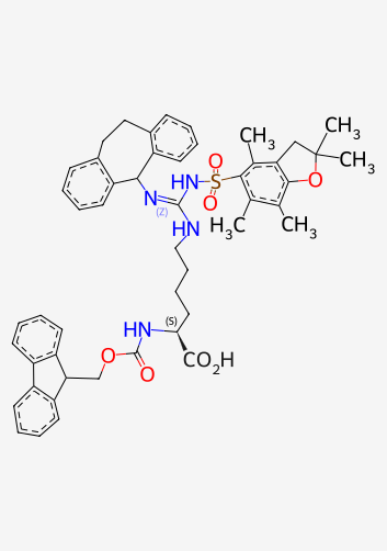 Cc1c(C)c(S(=O)(=O)N/C(=N\C2c3ccccc3CCc3ccccc32)NCCCC[C@H](NC(=O)OCC2c3ccccc3-c3ccccc32)C(=O)O)c(C)c2c1OC(C)(C)C2